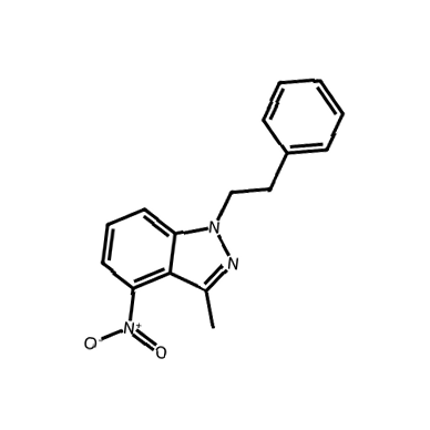 Cc1nn(CCc2ccccc2)c2cccc([N+](=O)[O-])c12